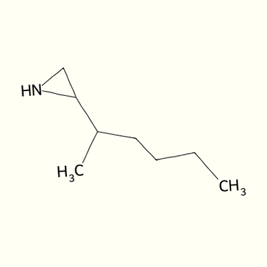 CCCCC(C)C1CN1